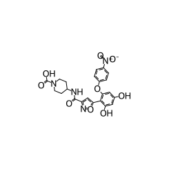 O=C(NC1CCN(C(=O)O)CC1)c1cc(-c2c(O)cc(O)cc2Oc2ccc([N+](=O)[O-])cc2)on1